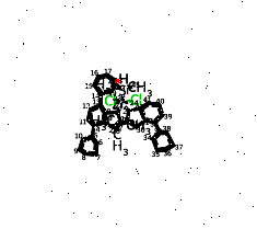 CC1=Cc2c(-c3ccccc3)ccc(-c3ccccc3)c2[CH]1[Zr]([Cl])([Cl])([CH]1C(C(C)C)=Cc2c(-c3ccccc3)cccc21)[SiH](C)C